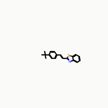 CC(C)(C)c1ccc(C=Cc2nc3ccccc3s2)cc1